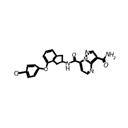 NC(=O)c1cnn2c(C(=O)NC3Cc4cccc(Oc5ccc(Cl)cc5)c4C3)ccnc12